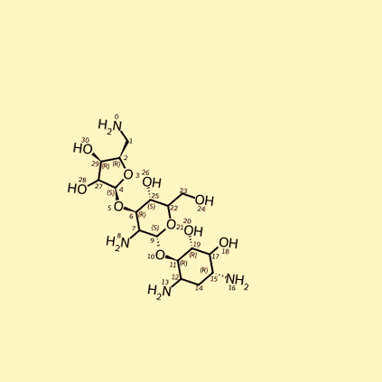 NC[C@H]1O[C@@H](O[C@@H]2C(N)[C@@H](O[C@@H]3C(N)C[C@@H](N)C(O)[C@H]3O)OC(CO)[C@H]2O)C(O)[C@H]1O